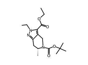 CCOC(=O)c1c2c(nn1CC)C[C@@H](C)N(C(=O)OC(C)(C)C)C2